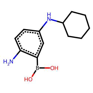 Nc1ccc(NC2CCCCC2)cc1B(O)O